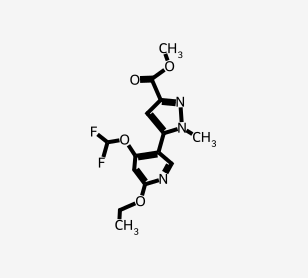 CCOc1cc(OC(F)F)c(-c2cc(C(=O)OC)nn2C)cn1